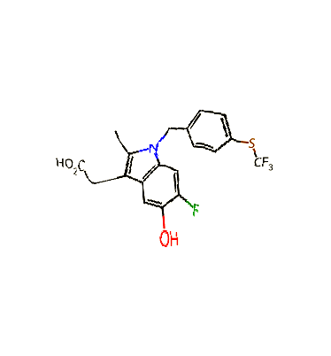 Cc1c(CC(=O)O)c2cc(O)c(F)cc2n1Cc1ccc(SC(F)(F)F)cc1